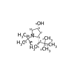 CC(C)(C)C(=O)[C@H]1C[C@@H](O)CN1C(C)(C)C